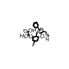 CNCc1nc(-c2ccccc2)n(Cc2ccc(F)cc2)c1Cl.O=C(O)C(=O)O